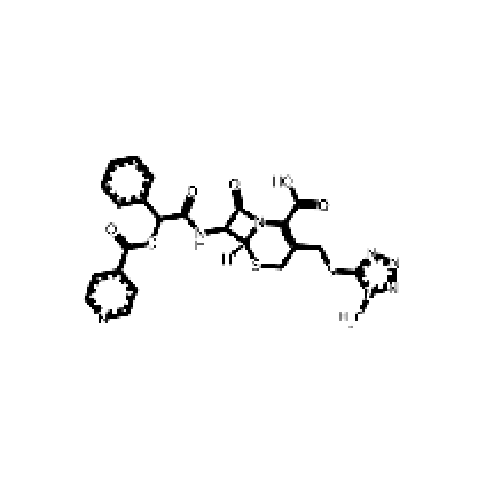 Cn1nnnc1SCC1=C(C(=O)O)N2C(=O)C(NC(=O)C(OC(=O)c3ccncc3)c3ccccc3)[C@H]2SC1